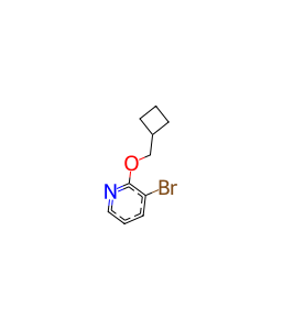 Brc1cccnc1OCC1CCC1